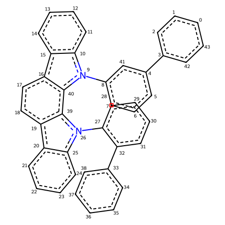 c1ccc(-c2cccc(-n3c4ccccc4c4ccc5c6ccccc6n(-c6ccccc6-c6ccccc6)c5c43)c2)cc1